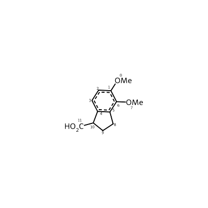 COc1ccc2c(c1OC)CCC2C(=O)O